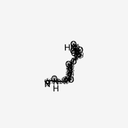 O=C(/C=C/c1cccnc1)NCCCCC1CCN(C(=O)c2ccc(N3CCN(C(=O)CCOCCSc4cccc5c4C(=O)N(C4CCC(=O)NC4=O)C5=O)CC3)cc2)CC1